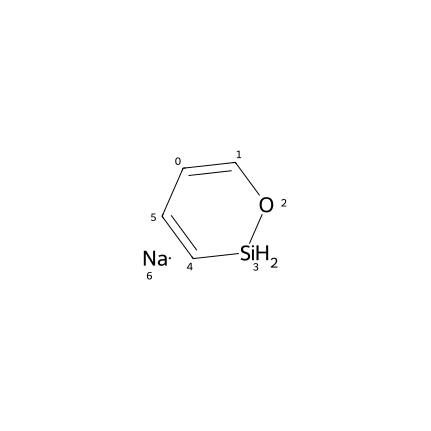 C1=CO[SiH2]C=C1.[Na]